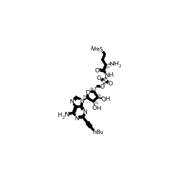 CCCCC#Cc1nc(N)c2ncn([C@H]3O[C@H](COS(=O)(=O)NC(=O)[C@@H](N)CCSC)[C@@H](O)[C@@H]3O)c2n1